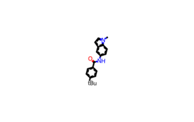 Cn1ccc2cc(NC(=O)c3ccc(C(C)(C)C)cc3)ccc21